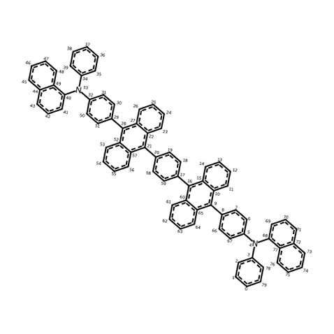 c1ccc(N(c2ccc(-c3c4ccccc4c(-c4ccc(-c5c6ccccc6c(-c6ccc(N(c7ccccc7)c7cccc8ccccc78)cc6)c6ccccc56)cc4)c4ccccc34)cc2)c2cccc3ccccc23)cc1